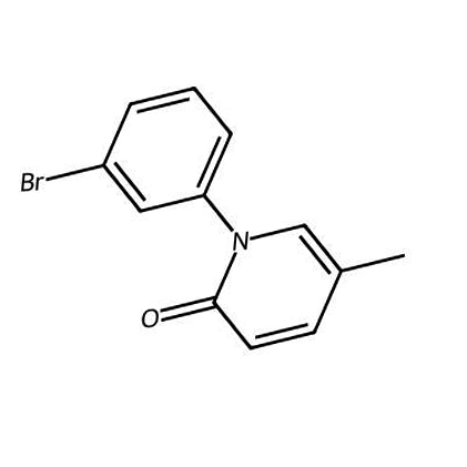 Cc1ccc(=O)n(-c2cccc(Br)c2)c1